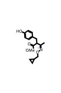 COC(=O)C(Cc1ccc(O)cc1)/C(C)=N\OCC1CC1